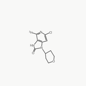 [2H]c1nc(Cl)cc2c1[nH]c(=O)n2C1CCOCC1